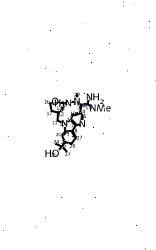 CN/C(N)=C(\c1cnc2c3c(n(CC4CCOCC4)c2c1)=CC(C(C)(C)O)CC=3)N(C)N